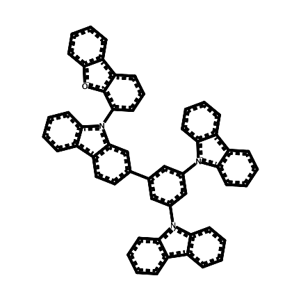 c1ccc2c(c1)oc1c(-n3c4ccccc4c4ccc(-c5cc(-n6c7ccccc7c7ccccc76)cc(-n6c7ccccc7c7ccccc76)c5)cc43)cccc12